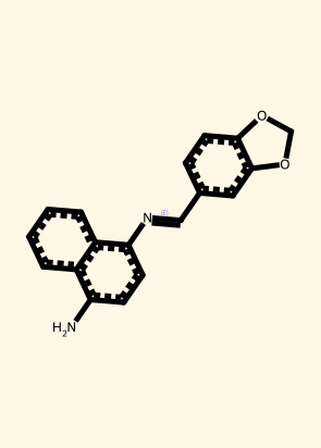 Nc1ccc(/N=C/c2ccc3c(c2)OCO3)c2ccccc12